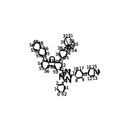 c1ccc(-c2nc(-c3ccc(-c4ccncc4)cc3)nc(-c3cc(-c4ccc(C56CC7CC(CC(C7)C5)C6)cc4)c4oc5c(-c6ccc7ccccc7c6)cccc5c4c3)n2)cc1